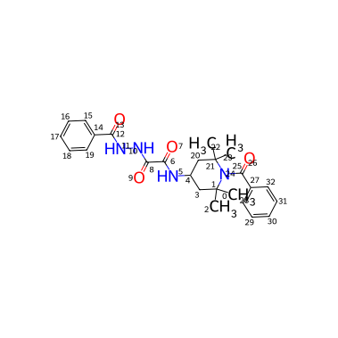 CC1(C)CC(NC(=O)C(=O)NNC(=O)c2ccccc2)CC(C)(C)N1C(=O)c1ccccc1